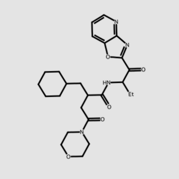 CCC(NC(=O)C(CC(=O)N1CCOCC1)CC1CCCCC1)C(=O)c1nc2ncccc2o1